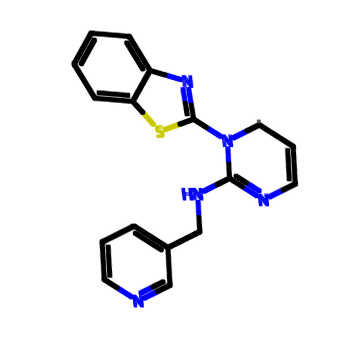 [CH]1C=CN=C(NCc2cccnc2)N1c1nc2ccccc2s1